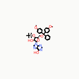 COc1ccc(C(OC[C@H]2O[C@@H](n3cnc4c(O)ncnc43)[C@H](O)[C@@H]2O[Si](C)(C)C(C)(C)C)(c2ccccc2)c2ccc(OC)cc2)cc1